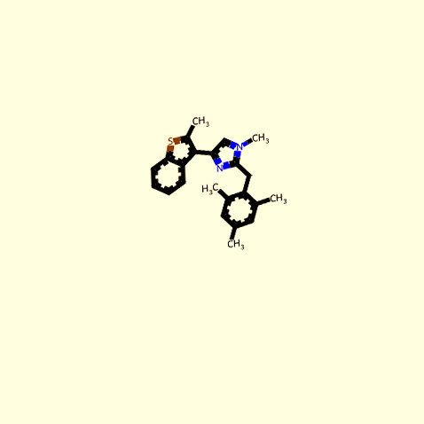 Cc1cc(C)c([CH]c2nc(-c3c(C)sc4ccccc34)cn2C)c(C)c1